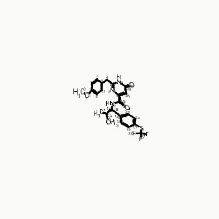 COc1ccc(Cc2nc(C(=O)N[C@@H](c3ccc(SC(F)(F)F)cc3)C(C)C)cc(=O)[nH]2)cc1